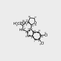 CC(C)Nc1nc2cc(Cl)c(Cl)cc2n1[C@@H]1OCC[C@H]1O